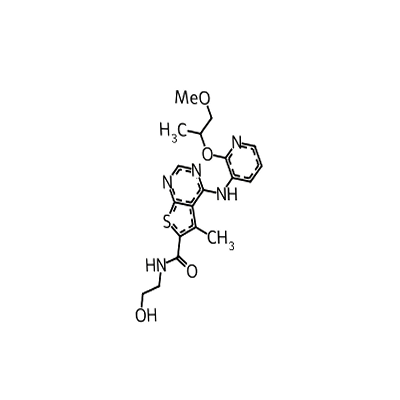 COCC(C)Oc1ncccc1Nc1ncnc2sc(C(=O)NCCO)c(C)c12